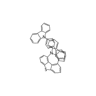 c1ccc(-c2cccc(-c3cccc4sc5cccc(-n6c7ccccc7c7ccc(-n8c9ccccc9c9ccccc98)cc76)c5c34)c2)cc1